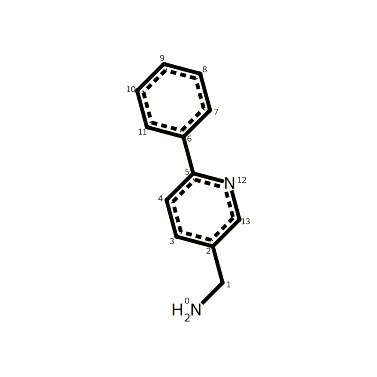 NCc1ccc(-c2ccccc2)nc1